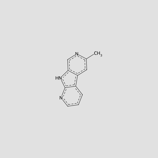 Cc1cc2c(cn1)[nH]c1ncccc12